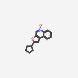 [O-][n+]1cc2oc(C3CCCC3)cc2c2ccccc21